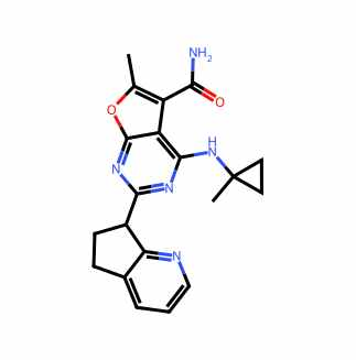 Cc1oc2nc(C3CCc4cccnc43)nc(NC3(C)CC3)c2c1C(N)=O